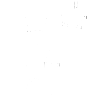 ClC(Cl)(CCC1(Cc2c[nH]nn2)OCCO1)c1ccccc1